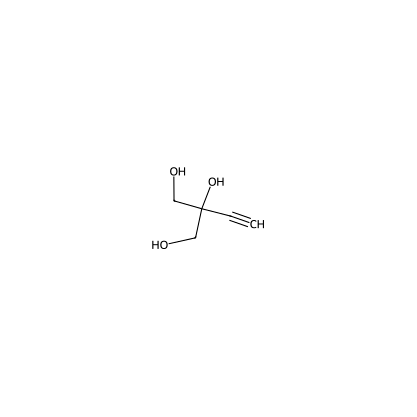 C#CC(O)(CO)CO